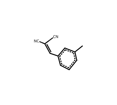 Cc1[c]ccc(C=C(C#N)C#N)c1